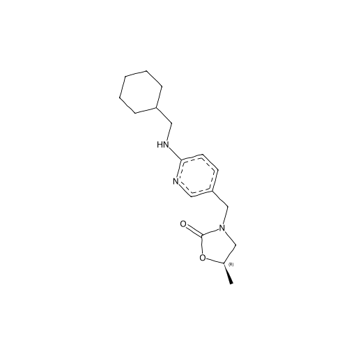 C[C@@H]1CN(Cc2ccc(NCC3CCCCC3)nc2)C(=O)O1